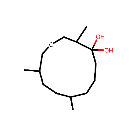 CC1CCCC(C)C(O)(O)CCCC(C)CC1